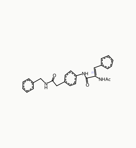 CC(=O)N/C(=C\c1ccccc1)C(=O)Nc1ccc(CC(=O)NCc2ccccc2)cc1